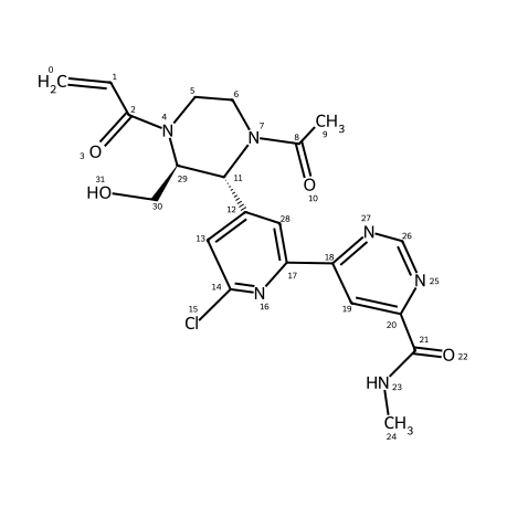 C=CC(=O)N1CCN(C(C)=O)[C@H](c2cc(Cl)nc(-c3cc(C(=O)NC)ncn3)c2)[C@H]1CO